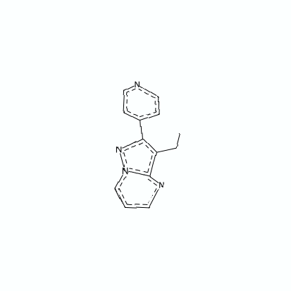 CCc1c(-c2ccncc2)nn2cccnc12